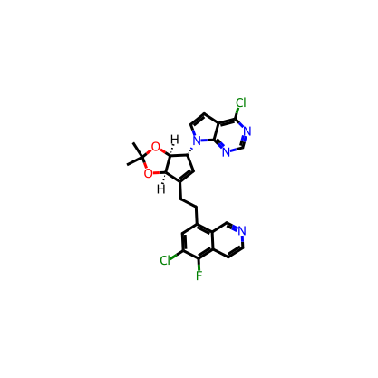 CC1(C)O[C@@H]2[C@H](O1)C(CCc1cc(Cl)c(F)c3ccncc13)=C[C@H]2n1ccc2c(Cl)ncnc21